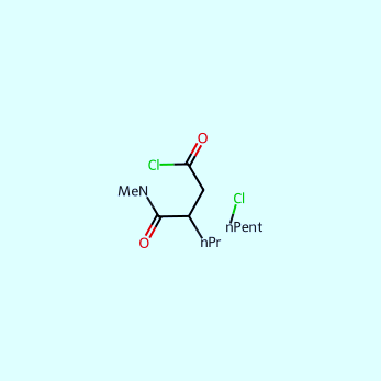 CCCC(CC(=O)Cl)C(=O)NC.CCCCCCl